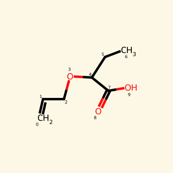 C=CCOC(CC)C(=O)O